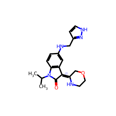 CC(C)N1C(=O)/C(=C2/COCCN2)c2cc(NCc3cc[nH]n3)ccc21